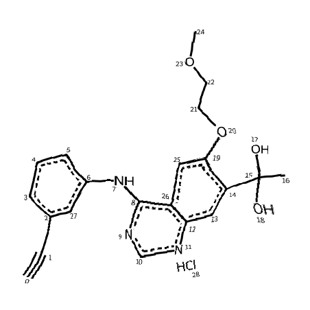 C#Cc1cccc(Nc2ncnc3cc(C(C)(O)O)c(OCCOC)cc23)c1.Cl